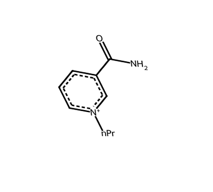 CCC[n+]1cccc(C(N)=O)c1